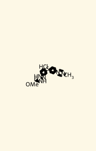 COC(=O)Nc1nc2cc(Sc3ccc(N4CCN(C)CC4)cc3)ccc2[nH]1.Cl